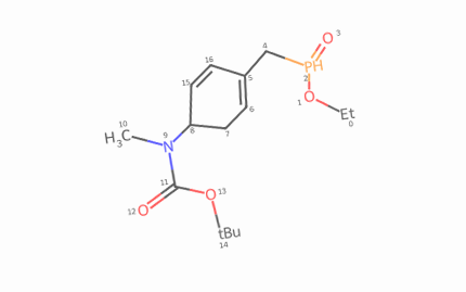 CCO[PH](=O)CC1=CCC(N(C)C(=O)OC(C)(C)C)C=C1